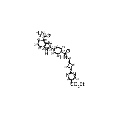 CCOC(=O)c1cnc(N2CC(CNC(=O)c3ccc(-c4nc5c(C(N)=O)cccc5[nH]4)cc3)C2)nc1